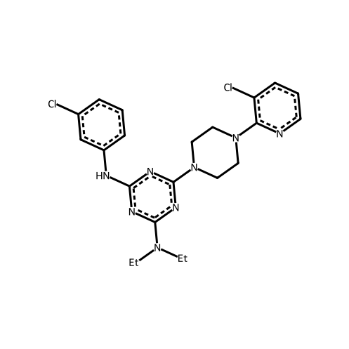 CCN(CC)c1nc(Nc2cccc(Cl)c2)nc(N2CCN(c3ncccc3Cl)CC2)n1